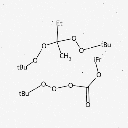 CC(C)OC(=O)OOOC(C)(C)C.CCC(C)(OOC(C)(C)C)OOC(C)(C)C